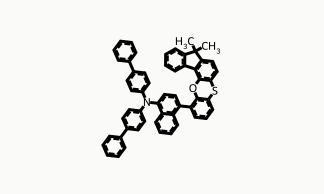 CC1(C)c2ccccc2-c2c1ccc1c2Oc2c(cccc2-c2ccc(N(c3ccc(-c4ccccc4)cc3)c3ccc(-c4ccccc4)cc3)c3ccccc23)S1